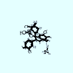 CCCCC(c1ccc(C)c(Cl)c1)C(OB([O-])O)(c1ccc(C)c(Cl)c1)c1ccc(C)c(Cl)c1.C[N+](C)(C)C